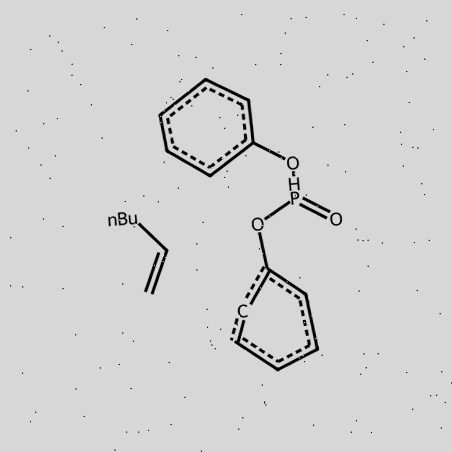 C=CCCCC.O=[PH](Oc1ccccc1)Oc1ccccc1